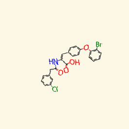 O=C(Cc1cccc(Cl)c1)NC(=Cc1ccc(Oc2ccccc2Br)cc1)C(=O)O